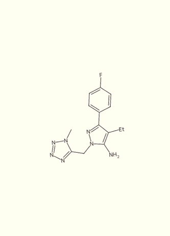 CCc1c(-c2ccc(F)cc2)nn(Cc2nnnn2C)c1N